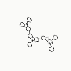 c1ccc(-c2nc(-c3ccccc3)c3sc4ccc(-c5ccc6c(c5)c5cc(-c7ccc8c(c7)c7ccccc7n8-c7ccccc7)ccc5n6-c5ccccc5)cc4c3n2)cc1